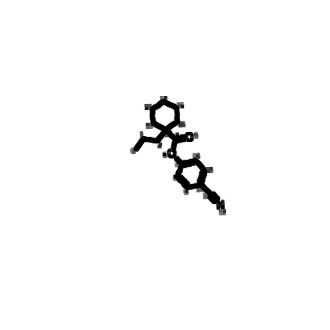 CCCC1(C(=O)Oc2ccc(C#N)cc2)CCCCC1